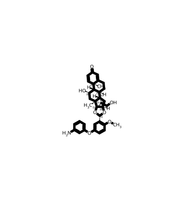 COc1ccc(Oc2cccc(N)c2)cc1[C@H]1O[C@@H]2C[C@H]3[C@@H]4CCC5=CC(=O)C=C[C@]5(C)[C@H]4[C@@H](O)C[C@]3(C)[C@]2(C(=O)CO)O1